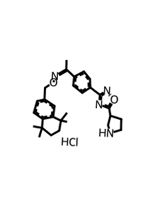 CC(=NOCc1ccc2c(c1)C(C)(C)CCC2(C)C)c1ccc(-c2noc(C3CCNC3)n2)cc1.Cl